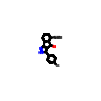 CCc1ccc(-c2[nH]nc3c2C(=O)c2c(NC(C)=O)cccc2-3)cc1